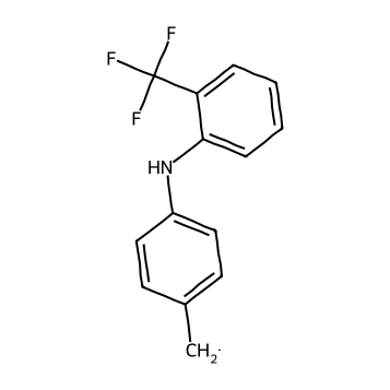 [CH2]c1ccc(Nc2ccccc2C(F)(F)F)cc1